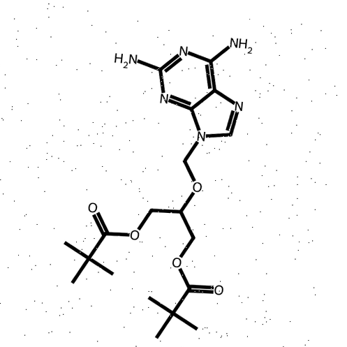 CC(C)(C)C(=O)OCC(COC(=O)C(C)(C)C)OCn1cnc2c(N)nc(N)nc21